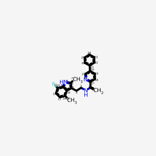 C=C(NCCc1c(C)[nH]c2c(F)ccc(C)c12)c1ccc(-c2ccccc2)cn1